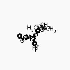 CCOC(=O)C(C)Oc1ccc(SCc2sc(-c3ccc(C(F)(F)F)cc3)nc2CN2CCN(C(=O)C3CCCCC3)CC2)cc1C